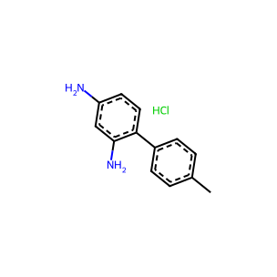 Cc1ccc(-c2ccc(N)cc2N)cc1.Cl